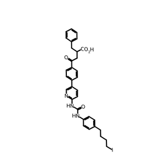 O=C(Nc1ccc(CCCCI)cc1)Nc1ccc(-c2ccc(C(=O)CC(Cc3ccccc3)C(=O)O)cc2)cn1